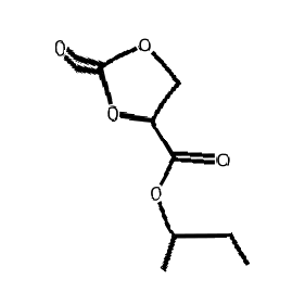 CCC(C)OC(=O)C1COC(=O)O1